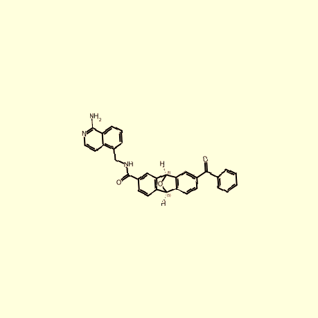 Nc1nccc2c(CNC(=O)c3ccc4c(c3)[C@@H]3O[C@H]4c4ccc(C(=O)c5ccccc5)cc43)cccc12